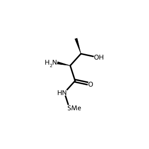 CSNC(=O)[C@@H](N)[C@@H](C)O